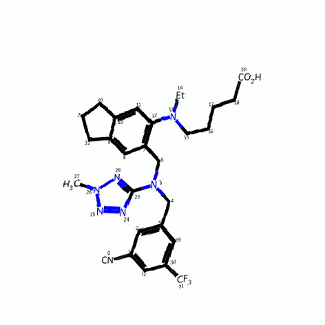 [C-]#[N+]c1cc(CN(Cc2cc3c(cc2N(CC)CCCCC(=O)O)CCC3)c2nnn(C)n2)cc(C(F)(F)F)c1